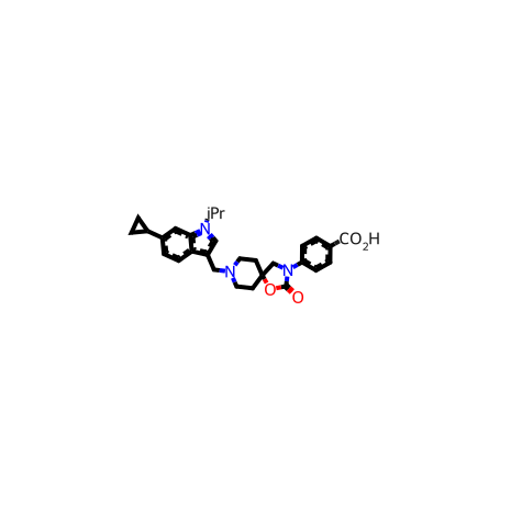 CC(C)n1cc(CN2CCC3(CC2)CN(c2ccc(C(=O)O)cc2)C(=O)O3)c2ccc(C3CC3)cc21